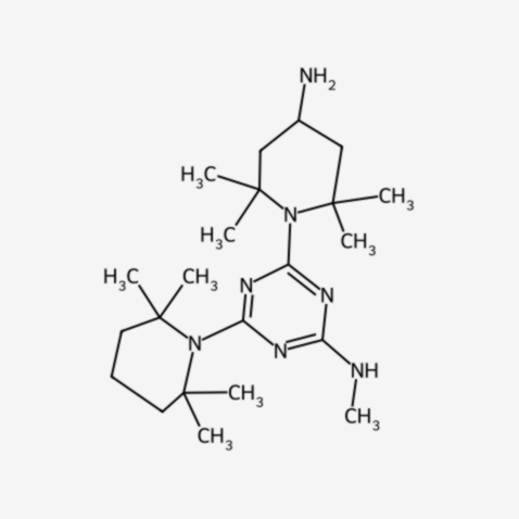 CNc1nc(N2C(C)(C)CCCC2(C)C)nc(N2C(C)(C)CC(N)CC2(C)C)n1